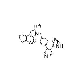 CCCc1cn(-c2ccccc2C(C)=O)c(=O)n1Cc1ccc(-c2cnccc2-c2nnn[nH]2)cc1